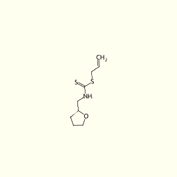 C=CCSC(=S)NCC1CCCO1